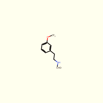 O=[C]NCCc1cccc(OC(F)(F)F)c1